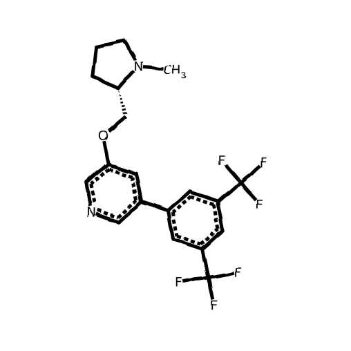 CN1CCC[C@H]1COc1cncc(-c2cc(C(F)(F)F)cc(C(F)(F)F)c2)c1